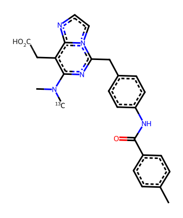 Cc1ccc(C(=O)Nc2ccc(Cc3nc(N(C)[13CH3])c(CC(=O)O)c4nccn34)cc2)cc1